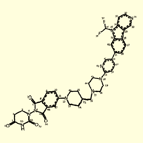 O=C1CCN(N2C(=O)c3ccc(N4CCC(CN5CCN(c6ccc(-c7ccc8c9cnccc9n(C(F)F)c8c7)cn6)CC5)CC4)cc3C2=O)C(=O)N1